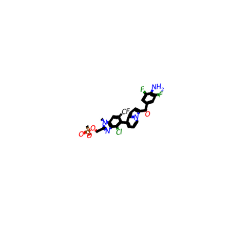 Cn1c(COS(C)(=O)=O)nc2c(Cl)c(-c3cccn4c(C(=O)c5cc(F)c(N)c(F)c5)ccc34)c(C(F)(F)F)cc21